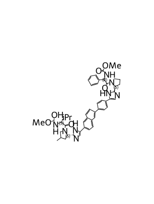 COC(=O)N[C@@H](C(=O)N1CCC[C@H]1c1ncc(-c2ccc(-c3ccc4cc(-c5cnc([C@@H]6CC(C)CN6C(=O)[C@@H](NC(O)OC)C(C)C)[nH]5)ccc4c3)cc2)[nH]1)c1ccccc1